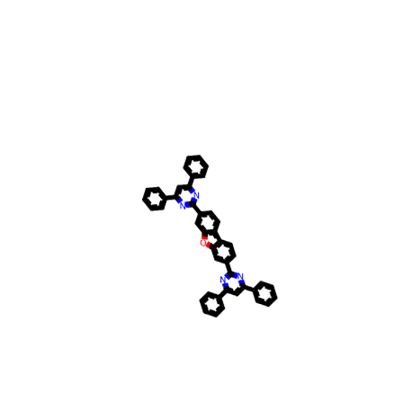 c1ccc(-c2cc(-c3ccccc3)nc(-c3ccc4c(c3)oc3cc(-c5nc(-c6ccccc6)cc(-c6ccccc6)n5)ccc34)n2)cc1